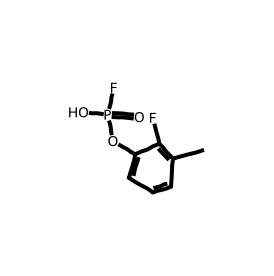 Cc1cccc(OP(=O)(O)F)c1F